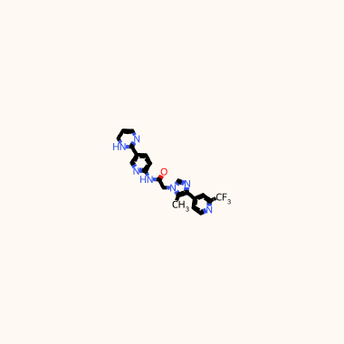 Cc1c(-c2ccnc(C(F)(F)F)c2)ncn1CC(=O)Nc1ccc(C2=NC=CCN2)cn1